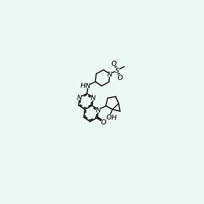 CS(=O)(=O)N1CCC(Nc2ncc3ccc(=O)n(C4CCC5CC54O)c3n2)CC1